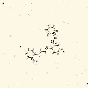 Oc1ccccc1CCCCc1ccccc1OCc1ccccc1